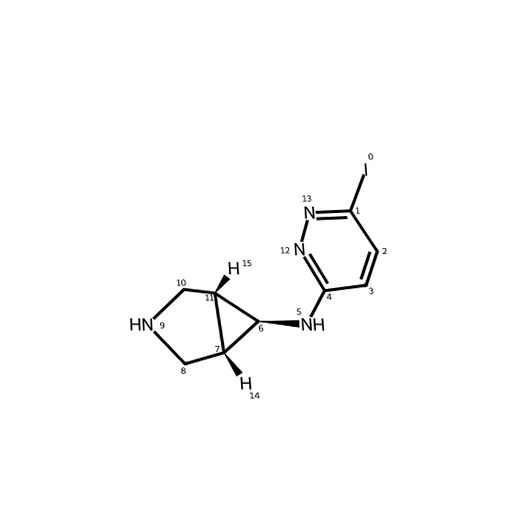 Ic1ccc(N[C@H]2[C@@H]3CNC[C@@H]32)nn1